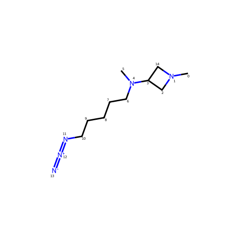 CN1CC(N(C)CCCCCN=[N+]=[N-])C1